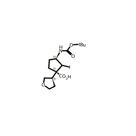 CC(C)(C)OC(=O)N[C@@H]1CC[C@@](C(=O)O)([C@H]2CCOC2)C1I